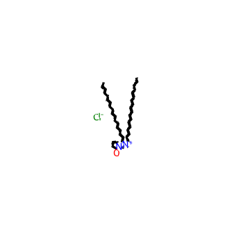 CCCCCCCCCCCCCCCCCC[N+](C)(CCCCCCCCCCCCCCCCCC)CN1CCCC1=O.[Cl-]